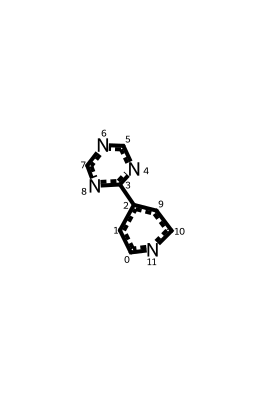 c1cc(-c2ncncn2)ccn1